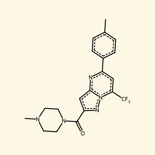 Cc1ccc(-c2cc(C(F)(F)F)n3nc(C(=O)N4CCN(C)CC4)cc3n2)cc1